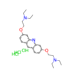 CCN(CC)CCOc1ccc2cc3ccc(OCCN(CC)CC)cc3nc2c1.Cl.Cl.Cl